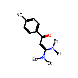 CCN(CC)C(=CC(=O)c1ccc(C#N)cc1)N(CC)CC